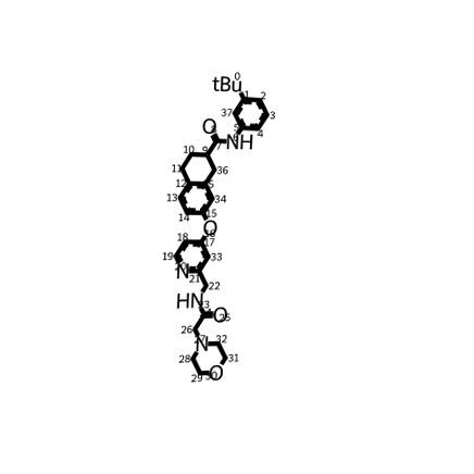 CC(C)(C)c1cccc(NC(=O)C2CCc3ccc(Oc4ccnc(CNC(=O)CN5CCOCC5)c4)cc3C2)c1